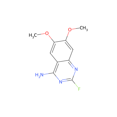 COc1cc2nc(F)nc(N)c2cc1OC